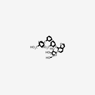 O=C(O)c1ccccc1.O=C(O)c1ccccc1.O=C(O)c1ccccc1.O=c1c2occc2ccn1[C@@H]1O[C@H](CO)[C@@H](O)[C@H]1O